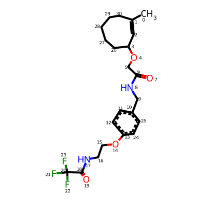 C/C1=C/C(OCC(=O)NCc2ccc(OCCNC(=O)C(F)(F)F)cc2)CCCCC1